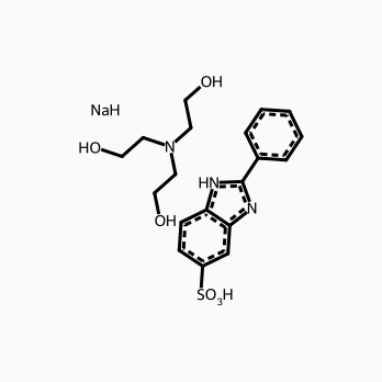 O=S(=O)(O)c1ccc2[nH]c(-c3ccccc3)nc2c1.OCCN(CCO)CCO.[NaH]